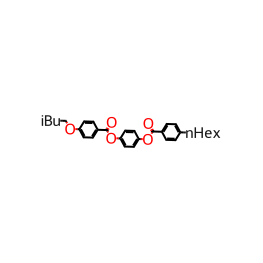 CCCCCCc1ccc(C(=O)Oc2ccc(OC(=O)c3ccc(OCC(C)CC)cc3)cc2)cc1